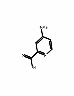 CNc1ccnc(C(=S)S)c1